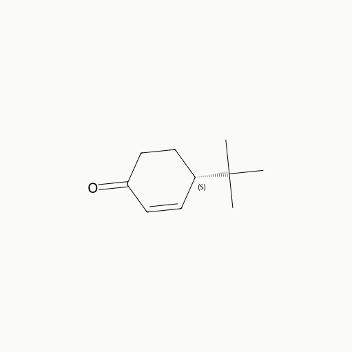 CC(C)(C)[C@@H]1C=CC(=O)CC1